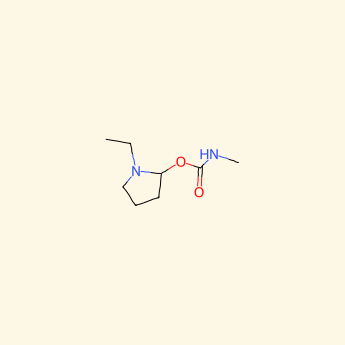 CCN1CCCC1OC(=O)NC